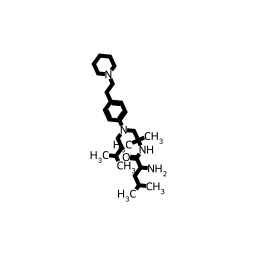 CC(C)CCN(CC(C)(C)NC(=O)C(N)CC(C)C)c1ccc(CCN2CCCCC2)cc1